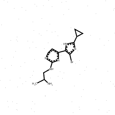 CC(N)CNc1nccc(-c2[nH]c(C3CC3)nc2Br)n1